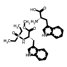 CCP(=O)(CC)N[C@@H](Cc1c[nH]c2ccccc12)C(=O)OC.N[C@@H](Cc1c[nH]c2ccccc12)C(=O)O